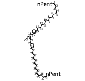 CCCCC/C=C\C/C=C\CCCCCCCCCCOCCN(C)CCOCCCCCCCCCC/C=C\C/C=C\CCCCC